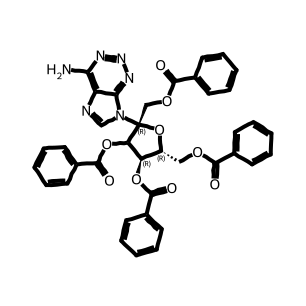 Nc1nnnc2c1ncn2[C@]1(COC(=O)c2ccccc2)O[C@H](COC(=O)c2ccccc2)[C@@H](OC(=O)c2ccccc2)C1OC(=O)c1ccccc1